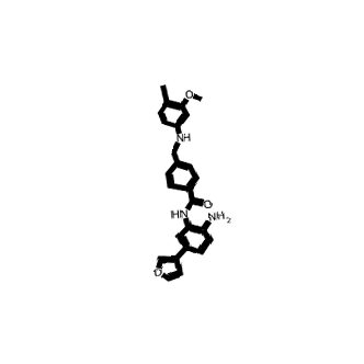 COc1cc(NCc2ccc(C(=O)Nc3cc(-c4ccoc4)ccc3N)cc2)ccc1C